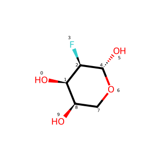 O[C@H]1[C@@H](F)[C@H](O)OC[C@H]1O